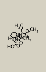 CCCC(N[C@@H](C)C(=O)N1[C@H](C(=O)O)C[C@@H]2CCCC[C@@H]21)C(=O)OCC